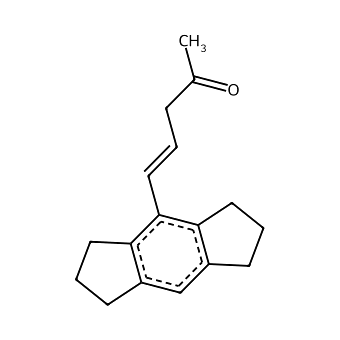 CC(=O)C/C=C/c1c2c(cc3c1CCC3)CCC2